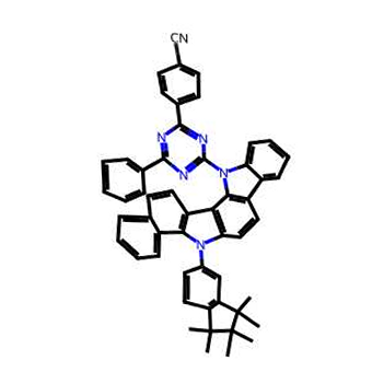 CC1(C)c2ccc(-n3c4ccc5c6ccccc6n(-c6nc(-c7ccccc7)nc(-c7ccc(C#N)cc7)n6)c5c4c4ccc5ccccc5c43)cc2C(C)(C)C1(C)C